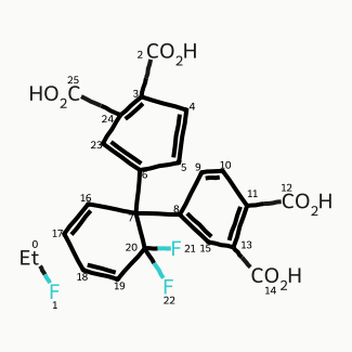 CCF.O=C(O)c1ccc(C2(c3ccc(C(=O)O)c(C(=O)O)c3)C=CC=CC2(F)F)cc1C(=O)O